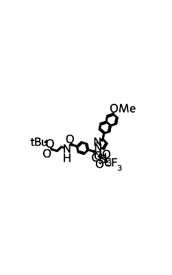 COc1ccc2cc(-c3cc(OS(=O)(=O)C(F)(F)F)n(C(C)c4ccc(C(=O)NCCC(=O)OC(C)(C)C)cc4)n3)ccc2c1